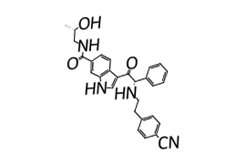 C[C@H](O)CNC(=O)c1ccc2c(C(=O)[C@@H](NCCc3ccc(C#N)cc3)c3ccccc3)c[nH]c2c1